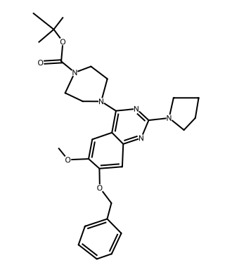 COc1cc2c(N3CCN(C(=O)OC(C)(C)C)CC3)nc(N3CCCC3)nc2cc1OCc1ccccc1